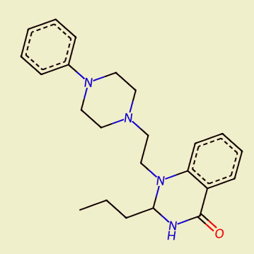 CCCC1NC(=O)c2ccccc2N1CCN1CCN(c2ccccc2)CC1